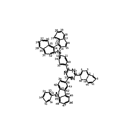 C1=CC2=CC=C(c3nc(-c4ccc(-n5c6ccc7ccccc7c6c6c7ccccc7ccc65)cc4)nc(-c4ccc5c(c4)c4ccccc4n5-c4ccccc4)n3)CC2C=C1